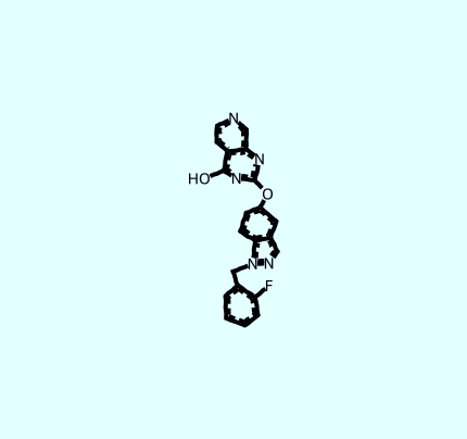 Oc1nc(Oc2ccc3c(cnn3Cc3ccccc3F)c2)nc2cnccc12